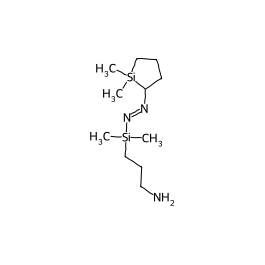 C[Si](C)(CCCN)N=NC1CCC[Si]1(C)C